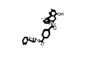 CC1(C)[C@H]2Cc3c(O)cccc3[C@]1(C)CCN2C(=O)C1CCC(C(=O)NCc2ccccc2)CC1